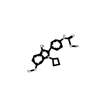 CCOc1ccc2c(C#N)c(-c3ccc(NC(=O)OC(C)C)cc3)n(C3CCC3)c2c1